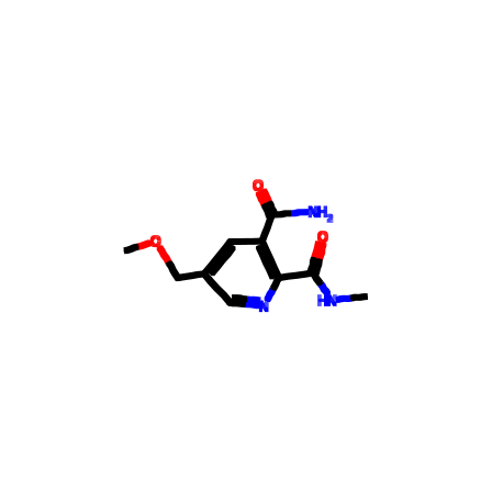 CNC(=O)c1ncc(COC)cc1C(N)=O